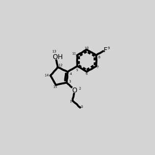 CCOC1=C(c2ccc(F)cc2)C(O)CC1